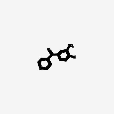 O=C(c1ccncc1)c1ccc(Cl)c([N+](=O)[O-])c1